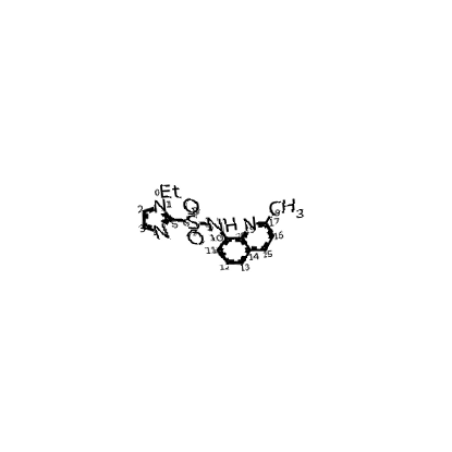 CCn1ccnc1S(=O)(=O)Nc1cccc2ccc(C)nc12